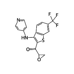 O=C(c1sc2cc(C(F)(F)F)ccc2c1Nc1ccncc1)C1CO1